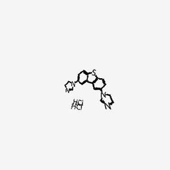 C1=NCCN1c1ccc2sc3ccc(N4C=NCC4)cc3c2c1.Cl.Cl